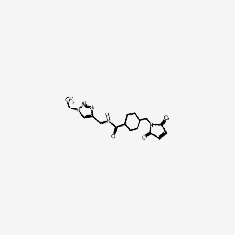 CCn1cc(CNC(=O)C2CCC(CN3C(=O)C=CC3=O)CC2)nn1